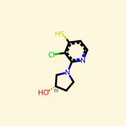 O[C@H]1CCN(c2nccc(S)c2Cl)C1